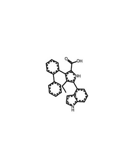 CCc1c(-c2cccc3[nH]ccc23)[nH]c(C(=O)O)c1-c1ccccc1-c1ccccc1